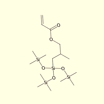 C=CC(=O)OCC(C)C[Si](O[Si](C)(C)C)(O[Si](C)(C)C)O[Si](C)(C)C